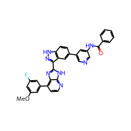 COc1cc(F)cc(-c2ccnc3[nH]c(-c4n[nH]c5ccc(-c6cncc(NC(=O)c7ccccc7)c6)cc45)nc23)c1